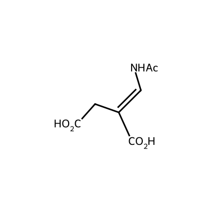 CC(=O)NC=C(CC(=O)O)C(=O)O